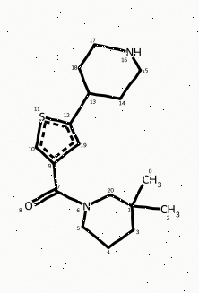 CC1(C)CCCN(C(=O)c2csc(C3CCNCC3)c2)C1